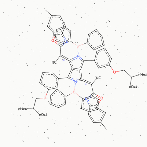 [C-]#[N+]/C(c1nc2ccc(C)cc2o1)=c1\c2c(-c3cccc(OCC(CCCCCC)CCCCCCCC)c3)n(B(c3ccccc3)c3ccccc3)/c(=C(/C#N)c3nc4ccc(C)cc4o3)c2c(-c2cccc(OCC(CCCCCC)CCCCCCCC)c2)n1B(c1ccccc1)c1ccccc1